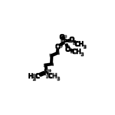 C=[N+](C)CCCCOP(=O)(OC)OC